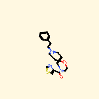 O=C(c1cscn1)N1CCOC2(CCN(CCc3ccccc3)CC2)C1